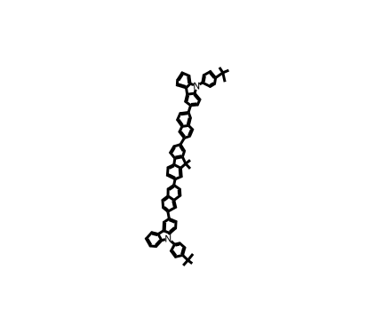 CC(C)(C)c1ccc(-n2c3ccccc3c3cc(-c4ccc5cc(-c6ccc7c(c6)C(C)(C)c6cc(-c8ccc9cc(-c%10ccc%11c(c%10)c%10ccccc%10n%11-c%10ccc(C(C)(C)C)cc%10)ccc9c8)ccc6-7)ccc5c4)ccc32)cc1